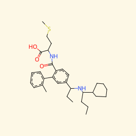 CCCC(NC(CC)c1ccc(C(=O)NC(CCSC)C(=O)O)c(-c2ccccc2C)c1)C1CCCCC1